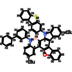 CC(C)(C)c1ccc2c(c1)-c1c3c4c(c5cc(C(C)(C)C)ccc5n4-c4cc5sc6ccccc6c5cc4B3N2c2cccc(-c3ccccc3)c2)c2c1oc1ccccc12